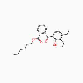 CCCCCCOC(=O)c1ccccc1C(=O)c1ccc(CC)c(CC)c1O